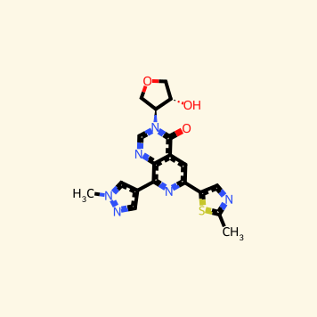 Cc1ncc(-c2cc3c(=O)n([C@H]4COC[C@@H]4O)cnc3c(-c3cnn(C)c3)n2)s1